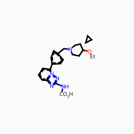 C1CC1.CCOC1CCN(Cc2ccc(-c3cccc4nc(NC(=O)O)nn34)cc2)CC1